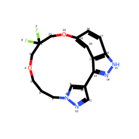 FC1(F)COCCCn2cc(cn2)-c2n[nH]c3ccc(cc23)OC1